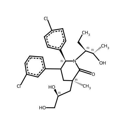 CC[C@@H]([C@H](C)O)N1C(=O)[C@@](C)(C[C@H](O)CO)CC(c2cccc(Cl)c2)[C@H]1c1ccc(Cl)cc1